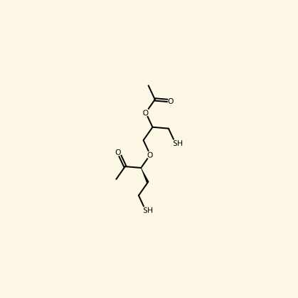 CC(=O)OC(CS)CO[C@@H](CCS)C(C)=O